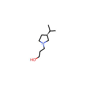 CC(C)[C@@H]1CCN(CCCO)C1